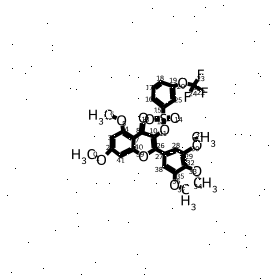 COc1cc(OC)c2c(=O)c(OS(=O)(=O)c3cccc(OC(F)(F)F)c3)c(-c3cc(OC)c(OC)c(OC)c3)oc2c1